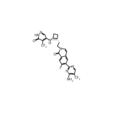 Nc1nc(-c2cc3ccn(CC[C@H]4CC[C@@H]4Nc4cn[nH]c(=O)c4C(F)(F)F)c(=O)c3cc2F)ncc1C(F)(F)F